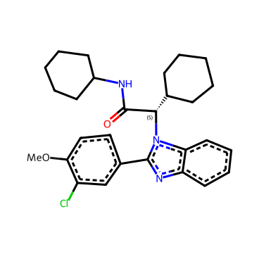 COc1ccc(-c2nc3ccccc3n2[C@H](C(=O)NC2CCCCC2)C2CCCCC2)cc1Cl